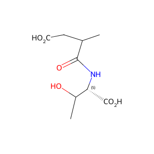 CC(CC(=O)O)C(=O)N[C@H](C(=O)O)C(C)O